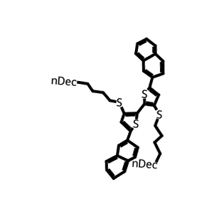 CCCCCCCCCCCCCCSc1cc(-c2ccc3ccccc3c2)sc1-c1sc(-c2ccc3ccccc3c2)cc1SCCCCCCCCCCCCCC